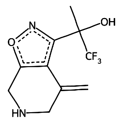 C=C1CNCc2onc(C(C)(O)C(F)(F)F)c21